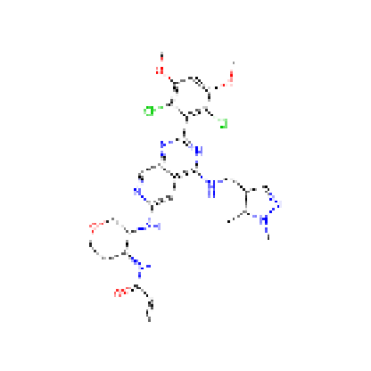 C=CC(=O)N[C@H]1CCOC[C@H]1Nc1cc2c(NCC3C=NN(C)C3C)nc(-c3c(Cl)c(OC)cc(OC)c3Cl)nc2cn1